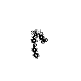 CN1C(=O)C(=Cc2ccc(OCc3ccc(C4CCCCC4)cc3)cc2)SC1=Nc1ccc([N+](=O)[O-])cc1